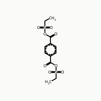 CCS(=O)(=O)OC(=O)c1ccc(C(=O)OS(=O)(=O)CC)cc1